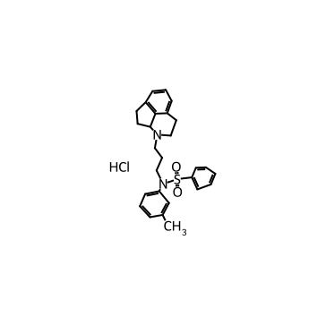 Cc1cccc(N(CCCN2CCc3cccc4c3C2CC4)S(=O)(=O)c2ccccc2)c1.Cl